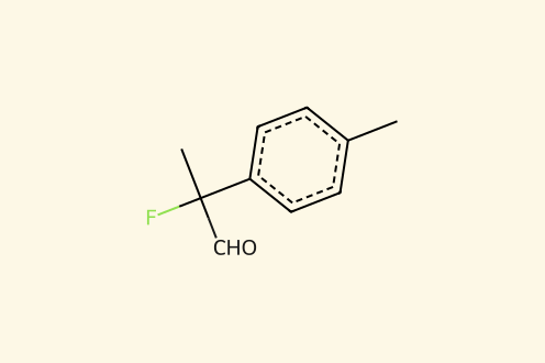 Cc1ccc(C(C)(F)C=O)cc1